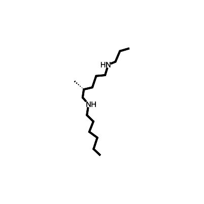 CCCCCCNC[C@H](C)CCCNCCC